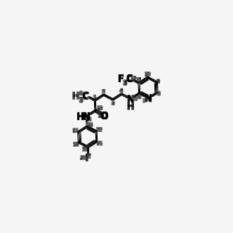 CC(CCCNc1ncccc1C(F)(F)F)C(=O)Nc1ccc(F)cc1